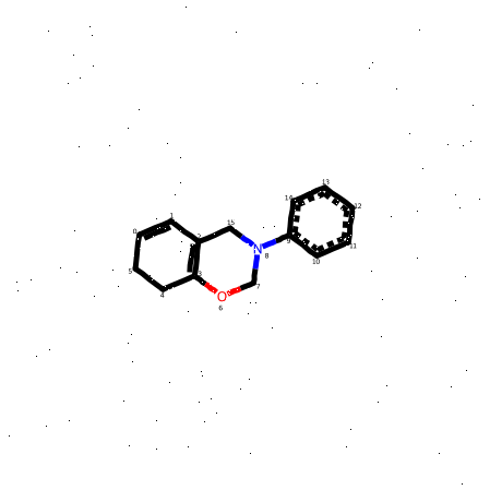 C1=CC2=C(CC1)OCN(c1ccccc1)C2